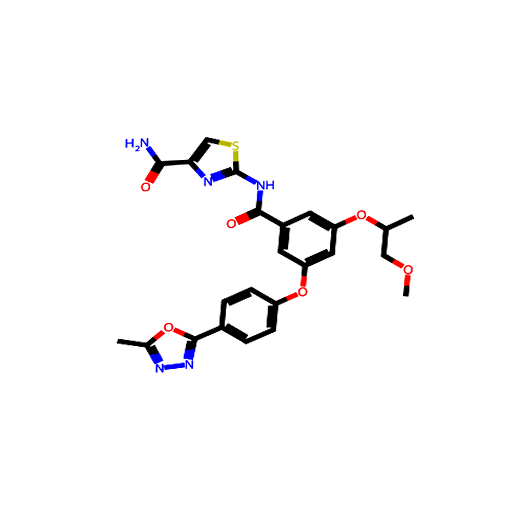 COCC(C)Oc1cc(Oc2ccc(-c3nnc(C)o3)cc2)cc(C(=O)Nc2nc(C(N)=O)cs2)c1